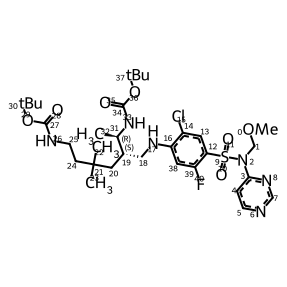 COCN(c1ccncn1)S(=O)(=O)c1cc(Cl)c(NC[C@H](CC(C)(C)CCNC(=O)OC(C)(C)C)[C@@H](C)NC(=O)OC(C)(C)C)cc1F